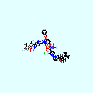 [2H]C([2H])(Oc1ccn(-c2ccc(C(=O)NS(=O)(=O)c3ccc(OCc4ccccc4)c(NCCC[C@@H]4CN(C(=O)OC(C)(C)C)C(C)(C)C4)n3)c(Cl)n2)n1)C([2H])([2H])C1C2(CC2)C12CC2